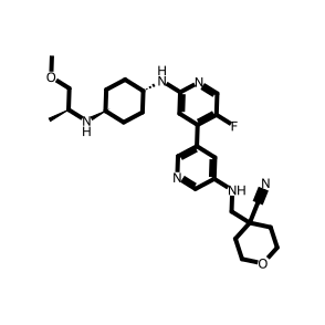 COC[C@H](C)N[C@H]1CC[C@H](Nc2cc(-c3cncc(NCC4(C#N)CCOCC4)c3)c(F)cn2)CC1